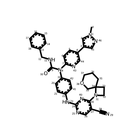 Cn1cc(-c2ccc(N(C(=O)NCc3ccccc3)c3ccc(Nc4ncc(C#N)c(N5CCC56CCCOC6)n4)cc3)nc2)cn1